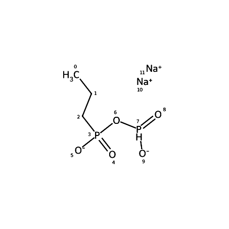 CCCP(=O)([O-])O[PH](=O)[O-].[Na+].[Na+]